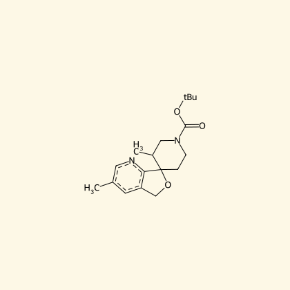 Cc1cnc2c(c1)COC21CCN(C(=O)OC(C)(C)C)CC1C